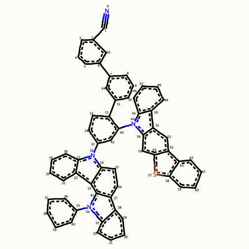 N#Cc1cccc(-c2cccc(-c3ccc(-n4c5ccccc5c5c4ccc4c6ccccc6n(-c6ccccc6)c45)cc3-n3c4ccccc4c4cc5c(cc43)sc3ccccc35)c2)c1